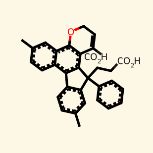 Cc1ccc2c(c1)C(CCC(=O)O)(c1ccccc1)c1c3c(c4cc(C)ccc4c1-2)OCC=C3C(=O)O